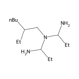 CCCCC(CC)CN(C(N)CC)C(N)CC